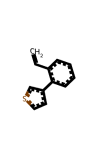 C=Cc1ccccc1-c1ccsc1